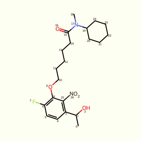 CC(O)c1ccc(F)c(OCCCCCC(=O)N(C)C2CCCCC2)c1[N+](=O)[O-]